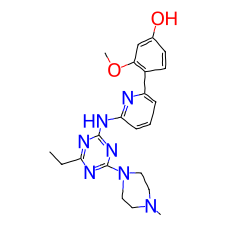 CCc1nc(Nc2cccc(-c3ccc(O)cc3OC)n2)nc(N2CCN(C)CC2)n1